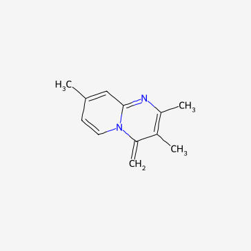 C=C1C(C)=C(C)N=C2C=C(C)C=CN12